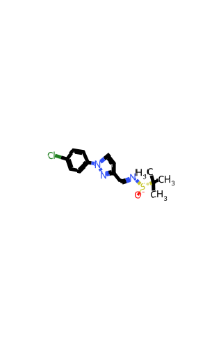 CC(C)(C)[S@@+]([O-])/N=C/c1ccn(-c2ccc(Cl)cc2)n1